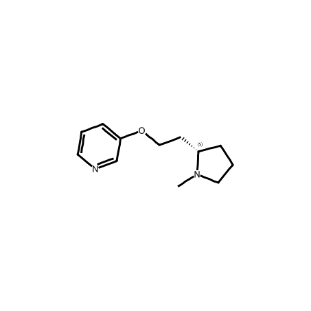 CN1CCC[C@H]1CCOc1cccnc1